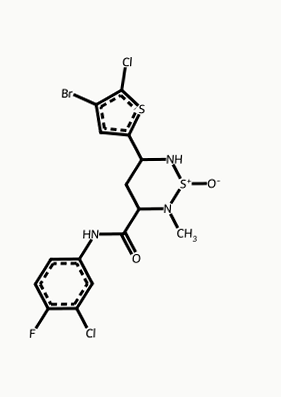 CN1C(C(=O)Nc2ccc(F)c(Cl)c2)CC(c2cc(Br)c(Cl)s2)N[S+]1[O-]